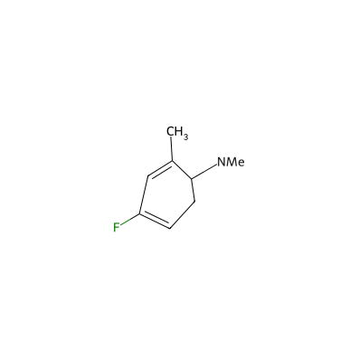 CNC1CC=C(F)C=C1C